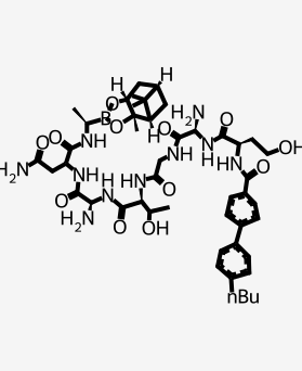 CCCCc1ccc(-c2ccc(C(=O)N[C@H](CCO)C(=O)N[C@H](N)C(=O)NCC(=O)N[C@H](C(=O)N[C@@H](N)C(=O)NC(CC(N)=O)C(=O)N[C@@H](C)B3O[C@@H]4C[C@@H]5C[C@@H](C5(C)C)[C@]4(C)O3)C(C)O)cc2)cc1